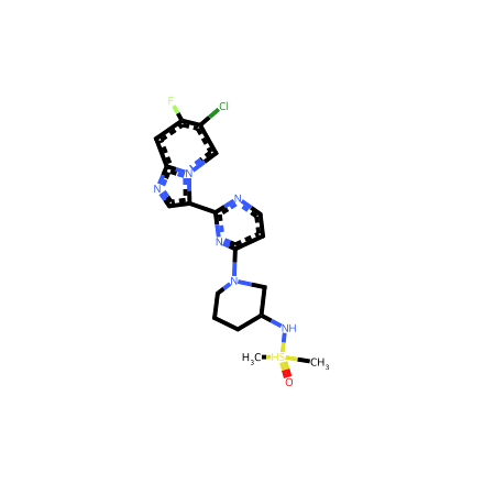 C[SH](C)(=O)NC1CCCN(c2ccnc(-c3cnc4cc(F)c(Cl)cn34)n2)C1